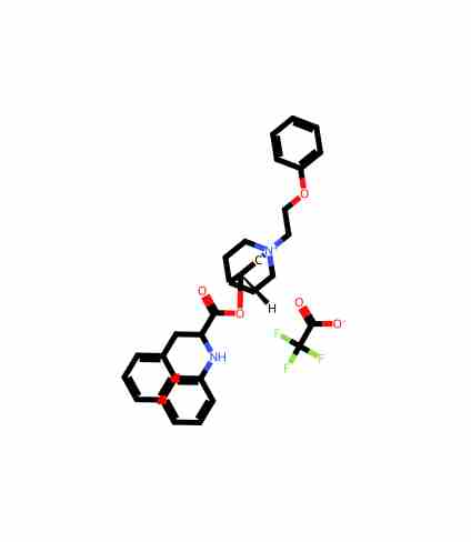 O=C(O[C@H]1C[N+]2(CCOc3ccccc3)CCC1CC2)C(Cc1ccccc1)Nc1ccccc1.O=C([O-])C(F)(F)F